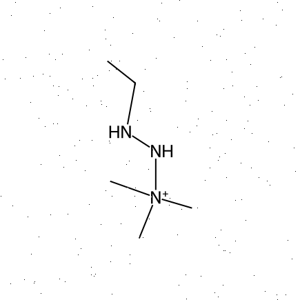 CCNN[N+](C)(C)C